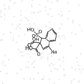 O=C(O)C1(C(=O)O)C=[C]([Na])c2ccccc2C1S(=O)(=O)O